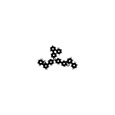 c1ccc(-c2ccccc2-c2ccc(N(c3ccc(-c4ccc5oc6c(-c7ccccc7)cccc6c5c4)cc3)c3ccc(-c4cccc5c4sc4ccccc45)cc3)cc2)cc1